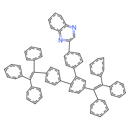 c1ccc(C(=C(c2ccccc2)c2ccc(-c3ccc(C(=C(c4ccccc4)c4ccccc4)c4ccccc4)cc3-c3ccc(-c4cnc5ccccc5n4)cc3)cc2)c2ccccc2)cc1